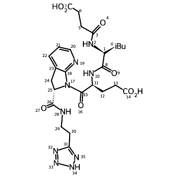 CC[C@H](C)[C@H](NC(=O)CCC(=O)O)C(=O)N[C@@H](CCC(=O)O)C(=O)N1c2ncccc2C[C@H]1C(=O)NCCc1nn[nH]n1